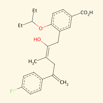 C=C(CC(C)=C(O)Cc1cc(C(=O)O)ccc1OC(CC)CC)c1ccc(F)cc1